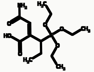 CCO[Si](OCC)(OCC)C(CC)C(=CC(N)=O)C(=O)O